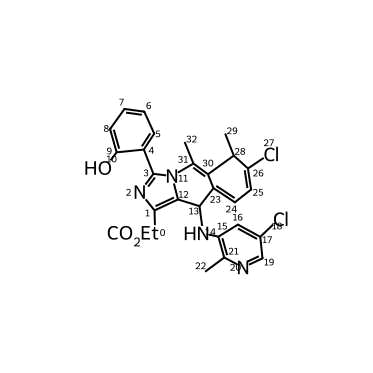 CCOC(=O)c1nc(-c2ccccc2O)n2c1C(Nc1cc(Cl)cnc1C)C1=CC=C(Cl)C(C)C1=C2C